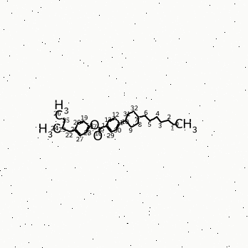 CCCCCCCC1CCC(c2ccc(C(=O)Oc3ccc(CC(C)CC)cc3)cc2)CC1